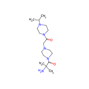 CC(C)N1CCN(C(=O)CN2CCN(C(=O)C(C)(C)N)CC2)CC1